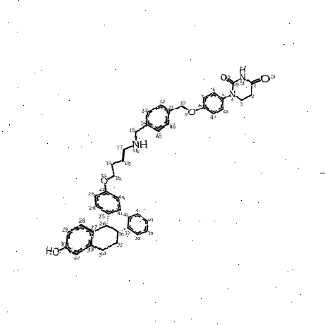 O=C1CCN(c2ccc(OCc3ccc(CNCCCCOc4ccc([C@H]5c6ccc(O)cc6CC[C@H]5c5ccccc5)cc4)cc3)cc2)C(=O)N1